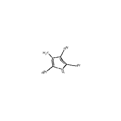 CCCc1[nH]c(CCC)c(CCC)c1C